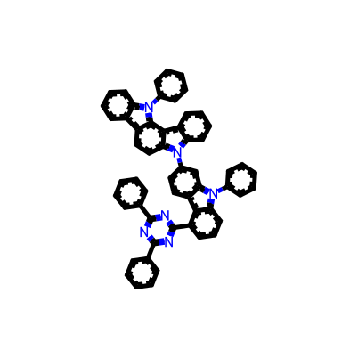 c1ccc(-c2nc(-c3ccccc3)nc(-c3cccc4c3c3ccc(-n5c6ccccc6c6c5ccc5c7ccccc7n(-c7ccccc7)c56)cc3n4-c3ccccc3)n2)cc1